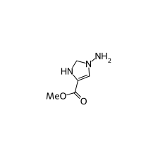 COC(=O)C1=CN(N)CN1